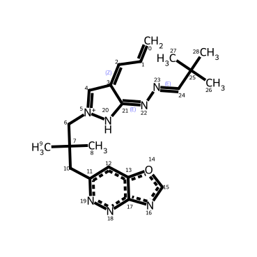 C=C/C=C1/C=[N+](CC(C)(C)Cc2cc3ocnc3nn2)N/C1=N/N=C/C(C)(C)C